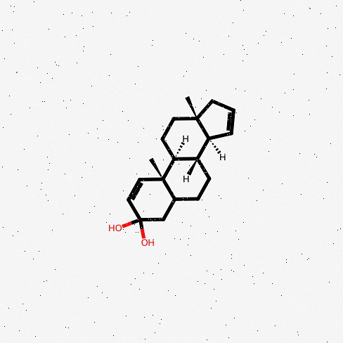 C[C@@]12CC=C[C@H]1[C@@H]1CCC3CC(O)(O)C=C[C@]3(C)[C@H]1CC2